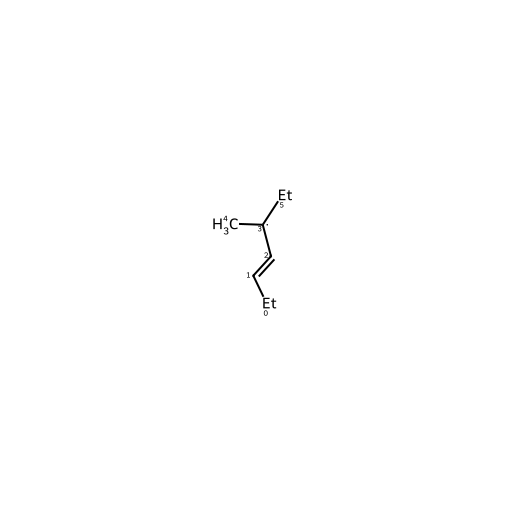 CCC=C[C](C)CC